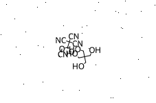 N#COC(=O)C(C#N)(C#N)C#N.OCC(CO)(CO)CO